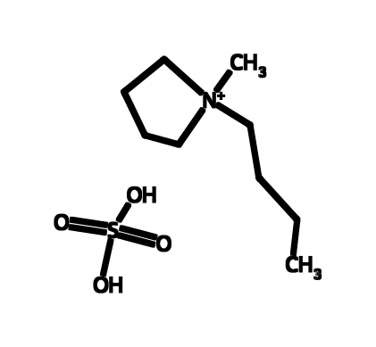 CCCC[N+]1(C)CCCC1.O=S(=O)(O)O